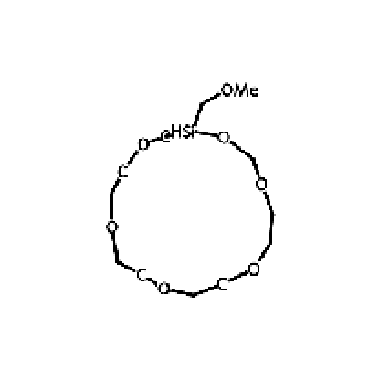 COC[SiH]1COCCOCCOCCOCCOCO1